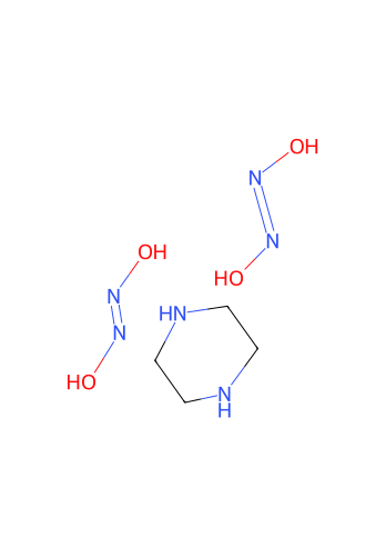 C1CNCCN1.ON=NO.ON=NO